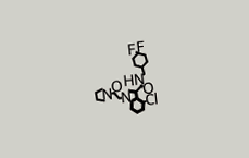 O=C(NCC1CCC(F)(F)CC1)c1cn(CC(=O)N2CCCC2)c2cccc(Cl)c12